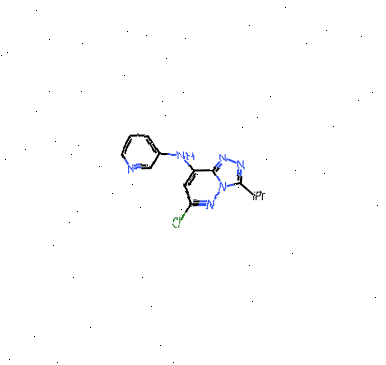 CC(C)c1nnc2c(Nc3cccnc3)cc(Cl)nn12